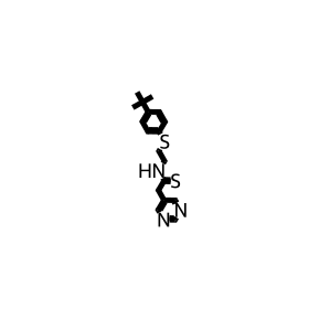 CC(C)(C)c1ccc(SCCNC(=S)Cc2cncnc2)cc1